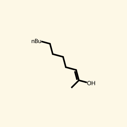 CCCCCCCC/C=C(\C)O